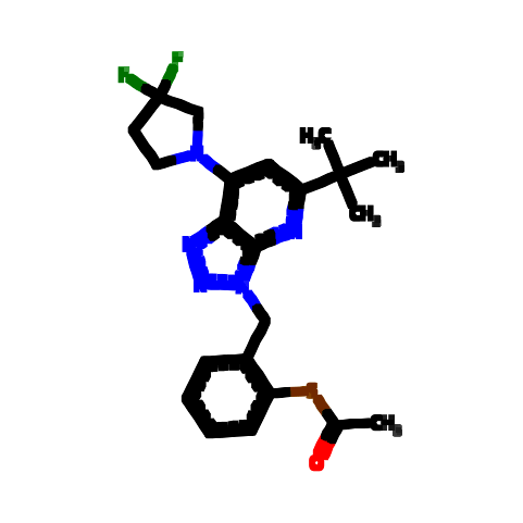 CC(=O)Sc1ccccc1Cn1nnc2c(N3CCC(F)(F)C3)cc(C(C)(C)C)nc21